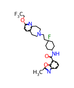 Cc1nc2cccc(C(=O)N[C@H]3CC[C@](F)(CCN4CCc5ccc(OCC(F)(F)F)nc5CC4)CC3)c2o1